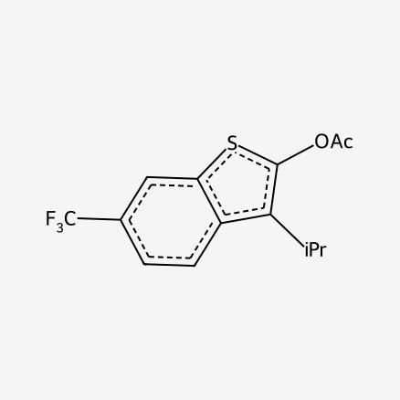 CC(=O)Oc1sc2cc(C(F)(F)F)ccc2c1C(C)C